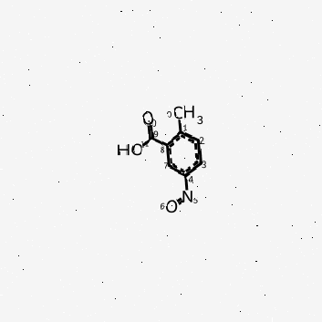 Cc1ccc(N=O)cc1C(=O)O